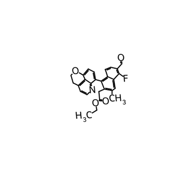 CCOC(=O)Cc1c(C)cc2c(F)c(C=O)ccc2c1-c1ccc2c3c(ccnc13)CCO2